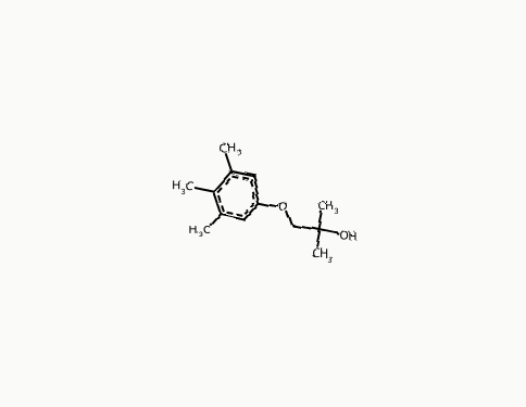 Cc1cc(OCC(C)(C)O)cc(C)c1C